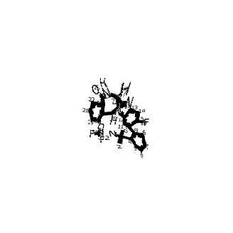 CC(C)(N)c1ccccc1-c1cc2c(cc1F)nc1n2[C@@H]2C[C@H]1NC(=O)c1cccc(OC(F)F)c12